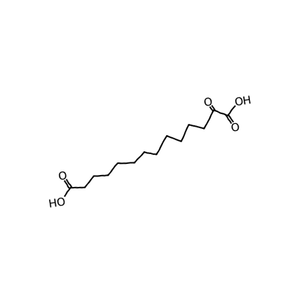 O=C(O)CCCCCCCCCCCC(=O)C(=O)O